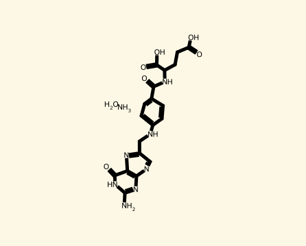 N.Nc1nc2ncc(CNc3ccc(C(=O)NC(CCC(=O)O)C(=O)O)cc3)nc2c(=O)[nH]1.O